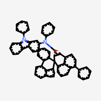 c1ccc(-c2ccc3c4c(cccc24)C2(c4ccccc4-c4cccc5cccc2c45)c2cc(N(c4ccccc4)c4ccc5c6ccccc6n(-c6ccccc6)c5c4)ccc2-3)cc1